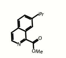 COC(=O)c1nccc2ccc(C(C)C)cc12